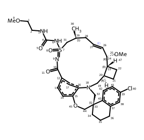 COCCNC(=O)NS1(=O)=NC(=O)c2ccc3c(c2)N(C[C@@H]2CC[C@H]2[C@@H](OC)/C=C/C[C@H](C)C1)C[C@@]1(CCCc2cc(Cl)ccc21)CO3